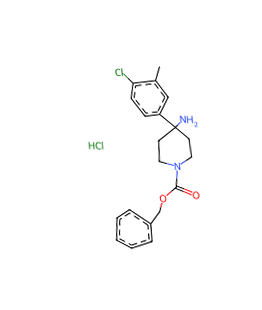 Cc1cc(C2(N)CCN(C(=O)OCc3ccccc3)CC2)ccc1Cl.Cl